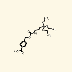 CCO[Si](CCCNC(=O)OCc1ccc(C(=O)O)cc1)(OCC)OCC